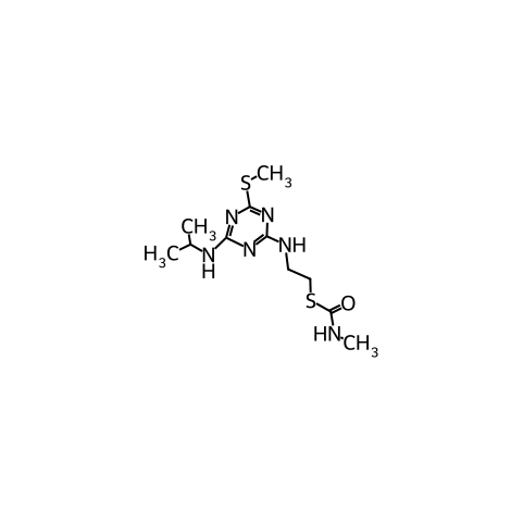 CNC(=O)SCCNc1nc(NC(C)C)nc(SC)n1